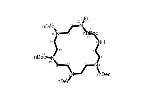 CCCCCCCCCCNCCN(CCCCCCCCCC)CCN(CCCCCCCCCC)CCN(CCCCCCCCCC)CCN(CCCCCCCCCC)CCN(CC)CCCCCCCCCC